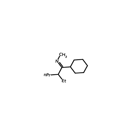 CCCC(CC)/C(=N/C)C1CCCCC1